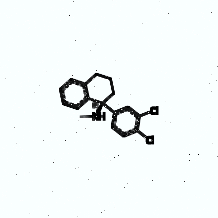 CN[C@]1(c2ccc(Cl)c(Cl)c2)CCCc2ccccc21